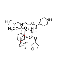 CC(C)CN(C[C@@H](OC(=O)N1CCNCC1)[C@H](Cc1ccccc1)NC(=O)O[C@H]1CCOC1)S(=O)(=O)c1ccc(N)cc1